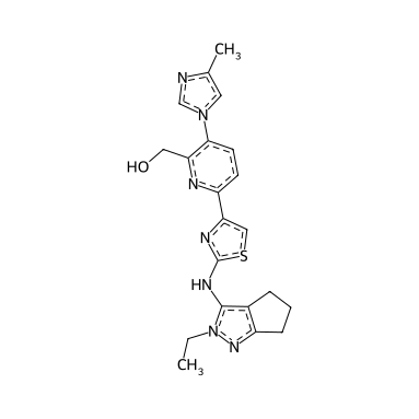 CCn1nc2c(c1Nc1nc(-c3ccc(-n4cnc(C)c4)c(CO)n3)cs1)CCC2